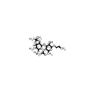 C=CCO[C@H]1OC(C)[C@H](OC(C)=O)[C@@H](O[C@@H]2OC(C)[C@H](C)[C@@H]3OC(C)(C)OC23)C1O